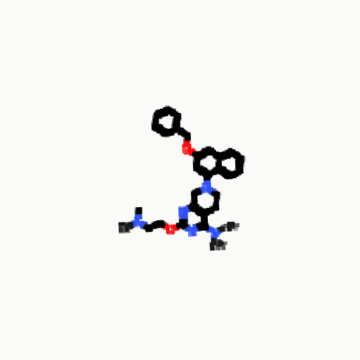 CCCN(CCC)c1nc(OCCN(C)CC)nc2c1CCN(c1cc(OCc3ccccc3)cc3ccccc13)C2